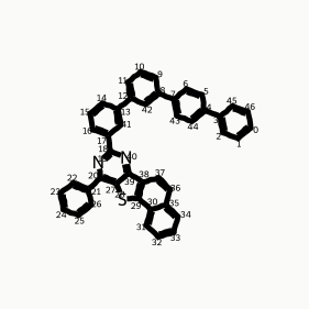 c1ccc(-c2ccc(-c3cccc(-c4cccc(-c5nc(-c6ccccc6)c6sc7c8ccccc8ccc7c6n5)c4)c3)cc2)cc1